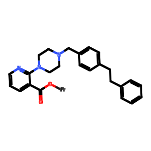 CC(C)OC(=O)c1cccnc1N1CCN(Cc2ccc(CCc3ccccc3)cc2)CC1